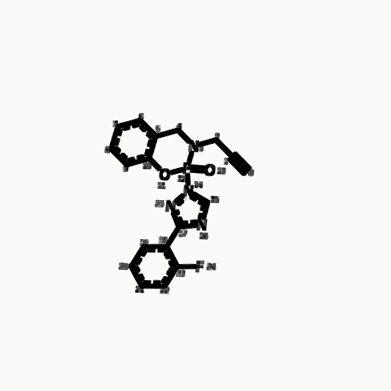 C#CCN1Cc2ccccc2OP1(=O)n1cnc(-c2ccccc2F)n1